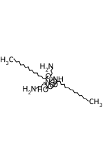 CCCCCCCCCCCCCCCC(=O)N[C@@H](CCCCN)C(=O)N(C(=O)CCCCCCCCCCCCCCC)[C@@H](CCCCN)C(=O)O